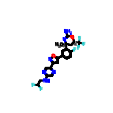 C[C@@]1(c2cc(-c3cc(-c4cnc(NCC(F)F)cn4)no3)ccc2F)C[C@@H](C(F)(F)F)OC(N)=N1